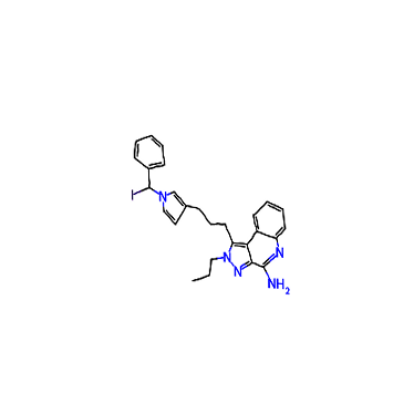 CCCn1nc2c(N)nc3ccccc3c2c1CCCc1ccn(C(I)c2ccccc2)c1